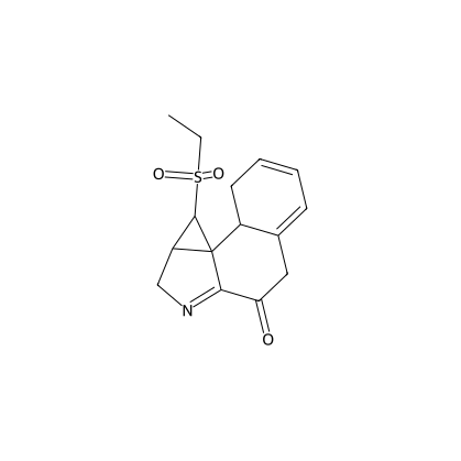 CCS(=O)(=O)C1C2CN=C3C(=O)CC4=CC=CCC4C321